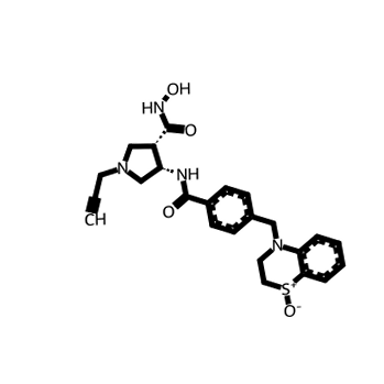 C#CCN1C[C@H](C(=O)NO)[C@H](NC(=O)c2ccc(CN3CC[S+]([O-])c4ccccc43)cc2)C1